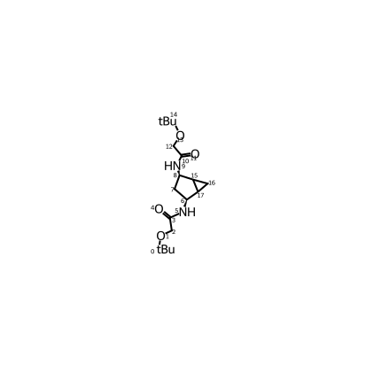 CC(C)(C)OCC(=O)N[C@H]1C[C@@H](NC(=O)COC(C)(C)C)C2CC21